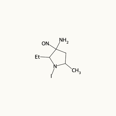 CCC1N(I)C(C)CC1(N)N=O